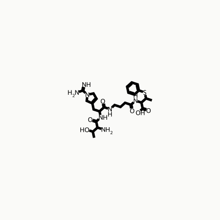 CC(O)C(N)C(=O)NC(CC1=CCN(C(=N)N)C1)C(=O)NCCCC(=O)NC(C(=O)O)C(C)Sc1ccccc1